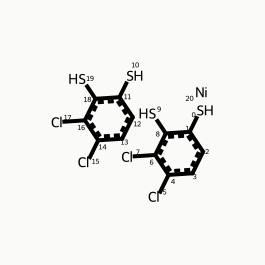 Sc1ccc(Cl)c(Cl)c1S.Sc1ccc(Cl)c(Cl)c1S.[Ni]